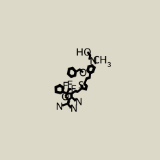 CN(CCO)c1ccc(C=Cc2ccc(C=CC3=C(C#N)C(=C(C#N)C#N)OC3(c3ccccc3)C(F)(F)F)s2)c(OCc2ccccc2)c1